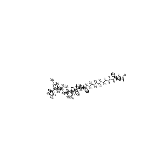 CCCNC(=O)CCCCCCCCCCCCC(=O)NCCC(=O)Oc1cccc2c1CC[C@H](N(CCC)CCc1cccs1)C2